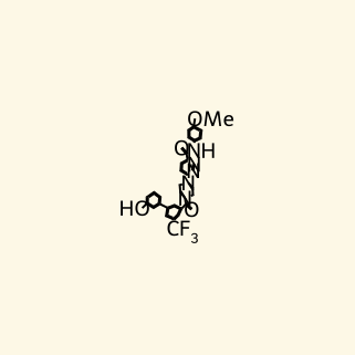 COc1ccc(NC(=O)c2ccc(N3CCN(C(=O)c4cc(-c5cccc(O)c5)cc(C(F)(F)F)c4)CC3)nn2)cc1